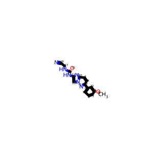 COc1cccc(-c2ccc3nc(NC(=O)NCC#N)cn3n2)c1